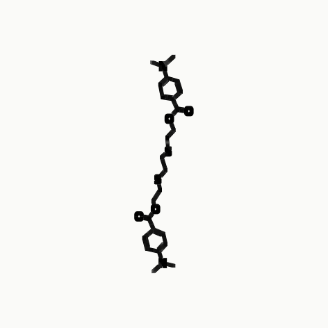 CN(C)c1ccc(C(=O)OCCSCCSCCOC(=O)c2ccc(N(C)C)cc2)cc1